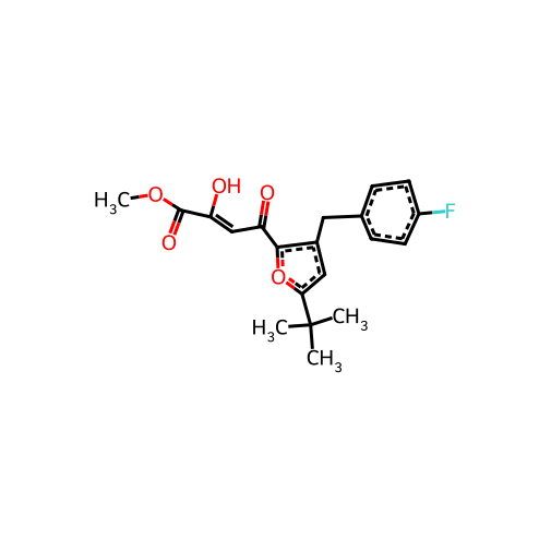 COC(=O)/C(O)=C/C(=O)c1oc(C(C)(C)C)cc1Cc1ccc(F)cc1